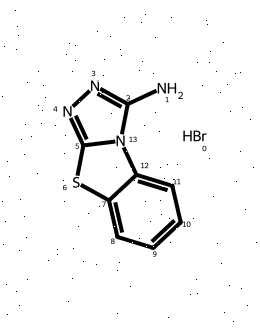 Br.Nc1nnc2sc3ccccc3n12